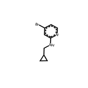 Brc1ccnc(NCC2CC2)c1